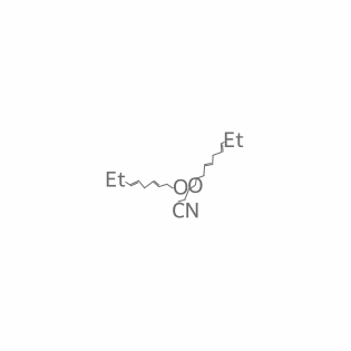 CCC=CC/C=C/CCOC(CCC#N)OCC/C=C/C/C=C/CC